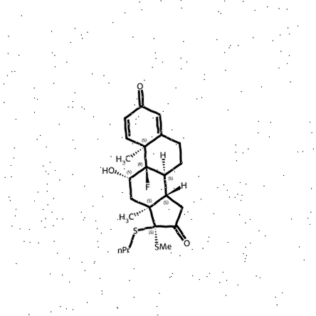 CCCS[C@]1(SC)C(=O)C[C@H]2[C@@H]3CCC4=CC(=O)C=C[C@]4(C)[C@@]3(F)[C@@H](O)C[C@@]21C